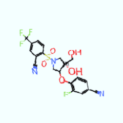 N#Cc1ccc(OC2CN(S(=O)(=O)c3ccc(C(F)(F)F)cc3C#N)C[C@@]2(O)CO)c(F)c1